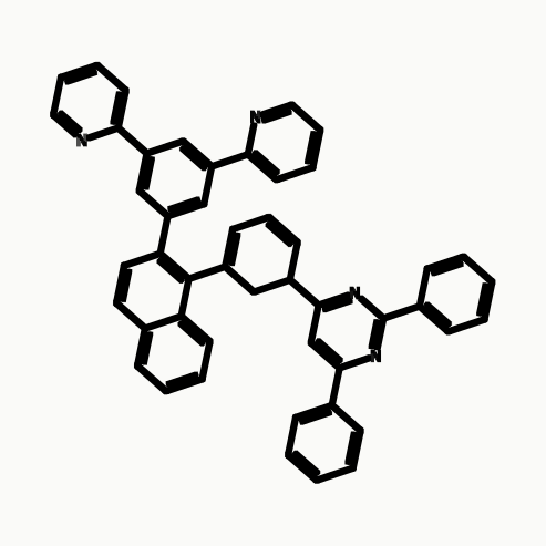 C1=CC(c2cc(-c3ccccc3)nc(-c3ccccc3)n2)CC(c2c(-c3cc(-c4ccccn4)cc(-c4ccccn4)c3)ccc3ccccc23)=C1